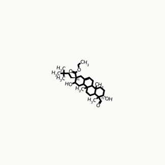 CCOC(=O)[C@]1(CCC(C)(C)C)CC2=CCC3C(C)(CCC4C3(C)CC[C@H](O)C4(C)C=O)C2CC1O